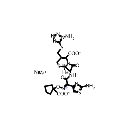 Nc1nc(/C(=N/OC2(C(=O)[O-])CCCC2)C(=O)N[C@@H]2C(=O)N3C(C(=O)[O-])=C(CSc4nnnn4N)CS[C@@H]23)cs1.[Na+].[Na+]